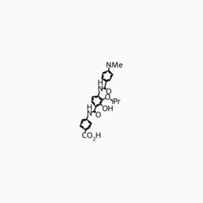 CNc1ccc(C(=O)Nc2ccc(C(=O)Nc3ccc(C(=O)O)cc3)c(O)c2OC(C)C)cc1